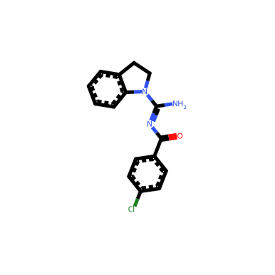 NC(=NC(=O)c1ccc(Cl)cc1)N1CCc2ccccc21